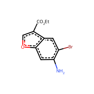 CCOC(=O)c1coc2cc(N)c(Br)cc12